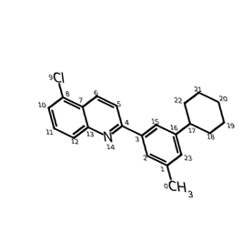 Cc1cc(-c2ccc3c(Cl)cccc3n2)cc(C2CCCCC2)c1